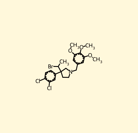 COc1cc(CN2CCC(c3ccc(Cl)c(Cl)c3)(C(C)Br)C2)cc(OC)c1OC